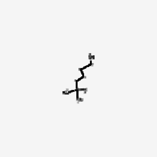 CCCCC(CC)(CCCC)CCCCO